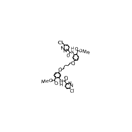 COC(=O)c1ccc(OCCCCOc2ccc(C(=O)OC)c(NC(=O)c3ccc(Cl)nn3)c2)cc1NC(=O)c1ccc(Cl)nn1